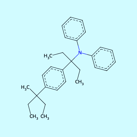 CCC(C)(CC)c1ccc(C(CC)(CC)N(c2ccccc2)c2ccccc2)cc1